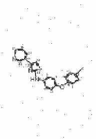 Cc1ccc(Oc2ccc(Nc3nc(-c4cccnc4)cs3)cc2)cc1